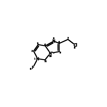 FN1C=CC2=NC(CCl)=C[N+]2C1